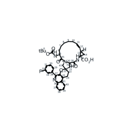 CC(C)(C)OC(=O)N[C@H]1CCCCCC=C[C@@H]2C[C@@]2(C(=O)O)NC(=O)[C@@H]2C[C@]3(CCc4c(c(-c5cccc(F)c5)nc5ccccc45)O3)CN2C1=O